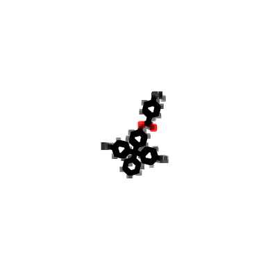 CCc1ccc(C(c2ccc(CC)cc2)(c2ccc(OC(=O)c3ccc(C)cc3)cc2)C2CCCCC2)cc1